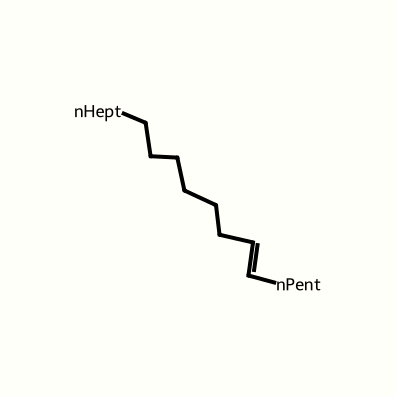 [CH2]CCCC/C=C/CCCCCCCCCCCC[CH2]